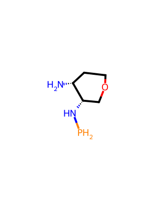 N[C@@H]1CCOC[C@@H]1NP